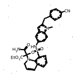 CCOC(=O)C(C)(C(N)=O)N1CC=Cc2cccc(S(=O)(=O)Nc3ccc4c(c3)cc(Cc3ccc(C#N)cc3)n4C)c21